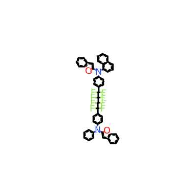 FC(F)(c1ccc(N(c2ccccc2)c2cc3ccccc3o2)cc1)C(F)(F)C(F)(F)C(F)(F)c1ccc(N(c2cc3ccccc3o2)c2cccc3ccccc23)cc1